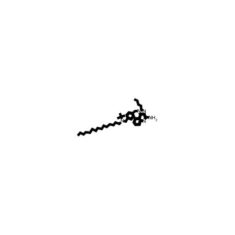 CCCCCCCCCCCCCCCN(Cc1ccc(Cn2c(CCCC)nc3c(N)nc4ccccc4c32)cc1)C(C)(C)C